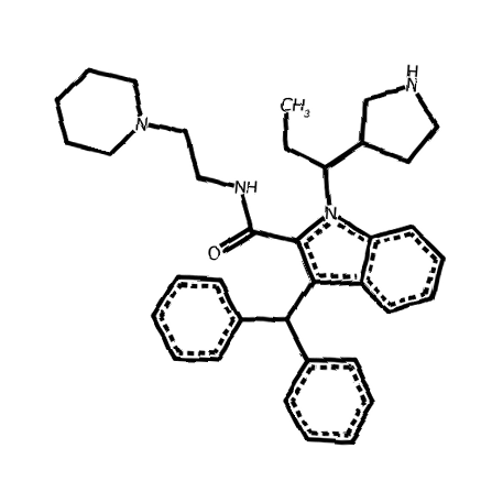 CCC(C1CCNC1)n1c(C(=O)NCCN2CCCCC2)c(C(c2ccccc2)c2ccccc2)c2ccccc21